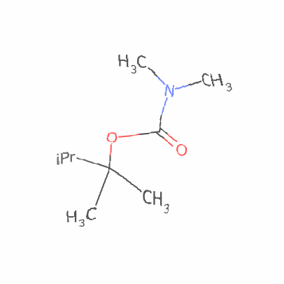 CC(C)C(C)(C)OC(=O)N(C)C